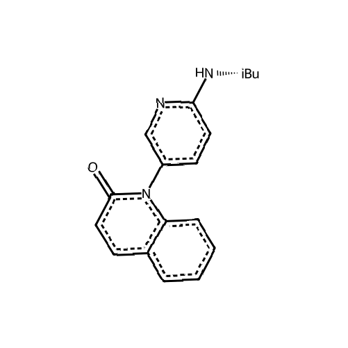 CC[C@@H](C)Nc1ccc(-n2c(=O)ccc3ccccc32)cn1